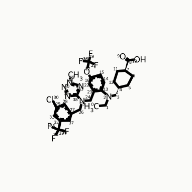 CCN(C[C@H]1CC[C@H](C(=O)O)CC1)c1ccc(OC(F)(F)F)cc1CN(Cc1cc(Cl)cc(C(F)(F)F)c1)c1nnn(C)n1